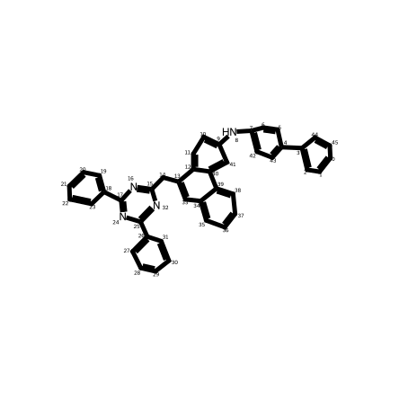 c1ccc(-c2ccc(Nc3ccc4c(Cc5nc(-c6ccccc6)nc(-c6ccccc6)n5)cc5ccccc5c4c3)cc2)cc1